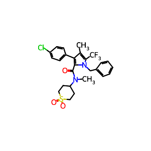 Cc1c(-c2ccc(Cl)cc2)c(C(=O)N(C)C2CCS(=O)(=O)CC2)n(Cc2ccccc2)c1C(F)(F)F